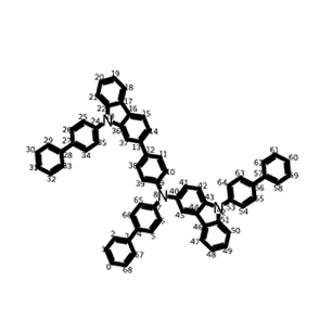 c1ccc(-c2ccc(N(c3ccc(-c4ccc5c6ccccc6n(-c6ccc(-c7ccccc7)cc6)c5c4)cc3)c3ccc4c(c3)c3ccccc3n4-c3ccc(-c4ccccc4)cc3)cc2)cc1